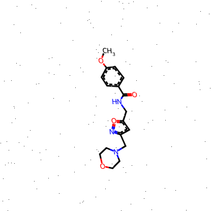 COc1ccc(C(=O)NCc2cc(CN3CCOCC3)no2)cc1